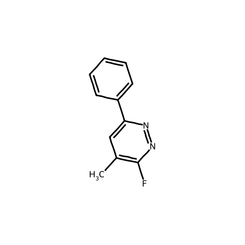 Cc1cc(-c2ccccc2)nnc1F